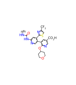 CCCNC(=O)Nc1cc(-c2nc(C(F)(F)F)cs2)c(-c2cc(C(=O)O)cnc2OC2CCOCC2)cn1